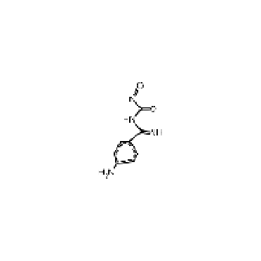 N=C(NC(=O)N=O)c1ccc(N)cc1